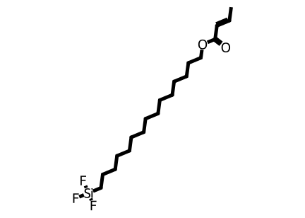 CC=CC(=O)OCCCCCCCCCCCCCCC[Si](F)(F)F